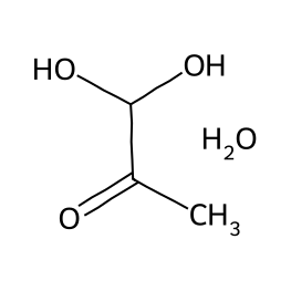 CC(=O)C(O)O.O